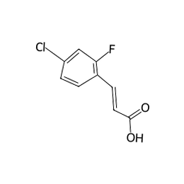 O=C(O)C=Cc1ccc(Cl)cc1F